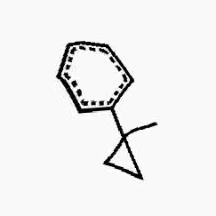 CC1(c2ccccc2)CC1